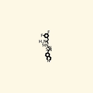 NC(CNc1nnc(-c2ccc3cnccc3c2)s1)Cc1cc(F)cc(F)c1